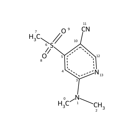 CN(C)c1cc(S(C)(=O)=O)c(C#N)cn1